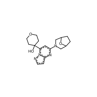 OC1(c2cc(N3CC4CCC(C3)O4)nc3ccnn23)CCOCC1